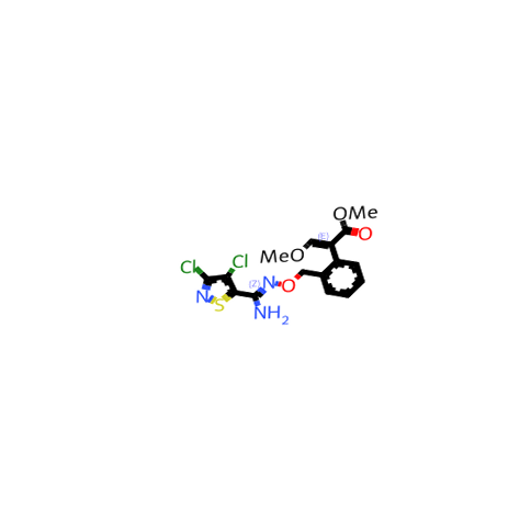 CO/C=C(/C(=O)OC)c1ccccc1CO/N=C(\N)c1snc(Cl)c1Cl